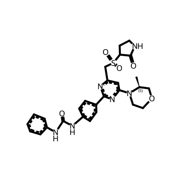 C[C@H]1COCCN1c1cc(CS(=O)(=O)C2CCNC2=O)nc(-c2ccc(NC(=O)Nc3ccccc3)cc2)n1